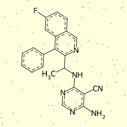 CC(Nc1ncnc(N)c1C#N)c1ncc2ccc(F)cc2c1-c1ccccc1